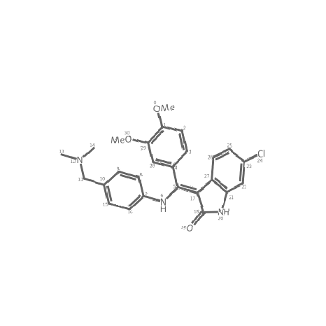 COc1ccc(/C(Nc2ccc(CN(C)C)cc2)=C2/C(=O)Nc3cc(Cl)ccc32)cc1OC